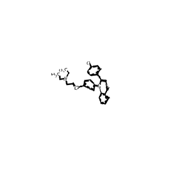 CCN(CC)CCOc1ccc(N2c3ccccc3CCC2c2ccc(Cl)cc2)cc1